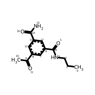 CCCNC(=O)c1cc(C(C)=O)cc(C(N)=O)c1